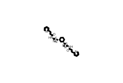 O=C(/C=C/c1ccccn1)Nc1nnc([C@@H]2CCC[C@@H](c3nnc(NC(=O)/C=C/c4ccccn4)s3)C2)s1